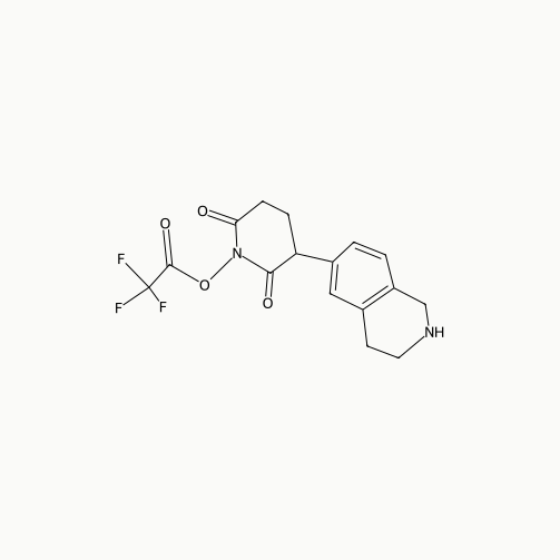 O=C1CCC(c2ccc3c(c2)CCNC3)C(=O)N1OC(=O)C(F)(F)F